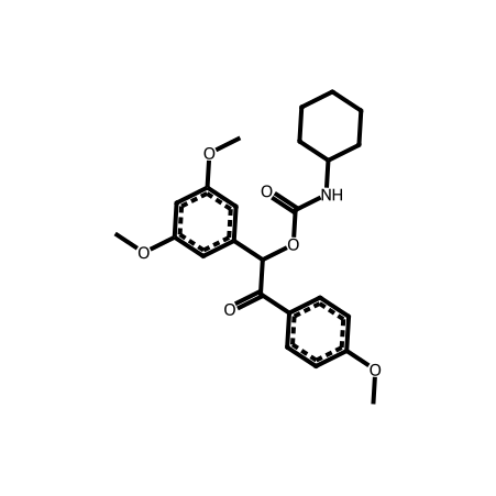 COc1ccc(C(=O)C(OC(=O)NC2CCCCC2)c2cc(OC)cc(OC)c2)cc1